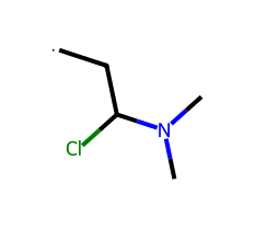 [CH2]CC(Cl)N(C)C